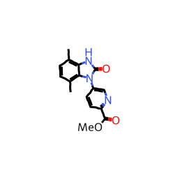 COC(=O)c1ccc(-n2c(=O)[nH]c3c(C)ccc(C)c32)cn1